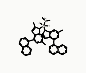 CC1=Cc2c(-c3cccc4ccccc34)cc(C)cc2[CH]1[Zr]([Cl])([Cl])([CH]1C(C)=Cc2c(-c3cccc4ccccc34)cc(C)cc21)[SiH](C)C